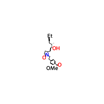 CCC#CC[C@H](C)[C@H](O)C=CC1CCC(=O)N1CCc1ccc(C(=O)OC)cc1